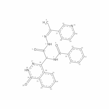 CC(=NNC(=O)C(NC(=O)c1ccccc1)c1n[nH]c(=O)c2ccccc12)c1cccnc1